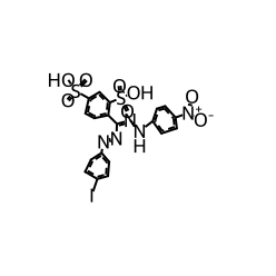 O=[N+]([O-])c1ccc(NN=C(N=Nc2ccc(I)cc2)c2ccc(S(=O)(=O)O)cc2S(=O)(=O)O)cc1